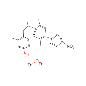 CCOCC.Cc1cc(O)ccc1CC(C)c1cc(C)c(-c2ccc([N+](=O)[O-])cc2)cc1C